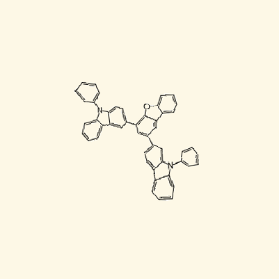 c1ccc(-n2c3ccccc3c3cc(-c4cc(-c5ccc6c7ccccc7n(-c7ccccc7)c6c5)cc5c4oc4ccccc45)ccc32)cc1